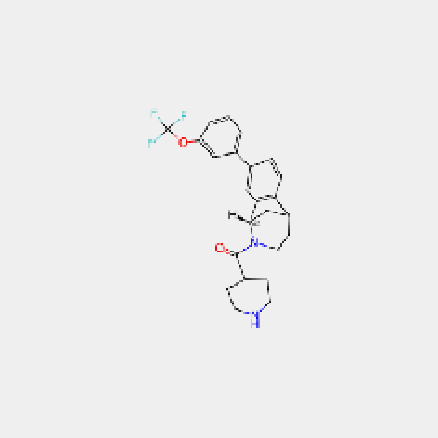 O=C(C1CCNCC1)N1CCC2C[C@H]1c1cc(-c3cccc(OC(F)(F)F)c3)ccc12